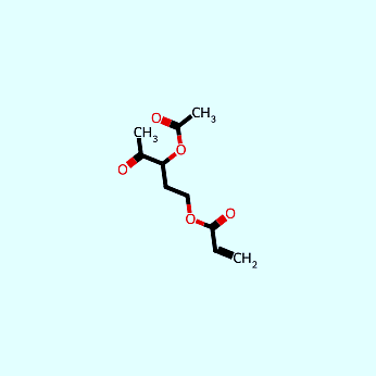 C=CC(=O)OCCC(OC(C)=O)C(C)=O